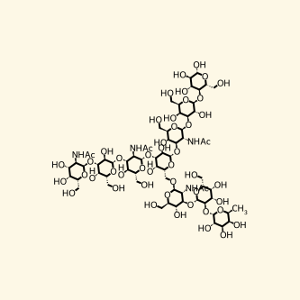 CC(=O)N[C@H]1[C@@H](O[C@H]2[C@@H](O)[C@@H](CO)O[C@@H](O[C@H]3[C@H](O)[C@@H](CO)O[C@@H](O[C@H]4[C@@H](O)[C@@H](CO[C@@H]5O[C@H](CO)[C@@H](O)[C@H](O[C@@H]6O[C@H](CO)[C@H](O)[C@H](O)[C@H]6O[C@@H]6O[C@@H](C)[C@@H](O)[C@@H](O)[C@@H]6O)[C@H]5NC(C)=O)O[C@@H](O[C@H]5[C@H](O)[C@@H](CO)O[C@@H](O[C@H]6[C@@H](O)[C@@H](CO)O[C@@H](O[C@H]7[C@H](O)[C@@H](O)[C@H](O)O[C@@H]7CO)[C@@H]6O)[C@@H]5NC(C)=O)[C@@H]4O)[C@@H]3NC(C)=O)[C@@H]2O)O[C@H](CO)[C@H](O)[C@@H]1O